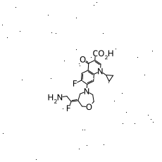 NCC(F)=C1COCCN(c2cc3c(cc2F)c(=O)c(C(=O)O)cn3C2CC2)C1